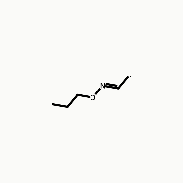 [CH2]/C=N/OCCC